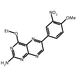 CCOc1nc(N)nc2ncc(-c3ccc(OC)c([N+](=O)[O-])c3)nc12